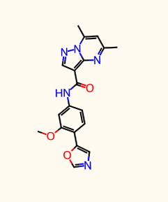 COc1cc(NC(=O)c2cnn3c(C)cc(C)nc23)ccc1-c1cnco1